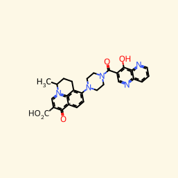 CC1CCc2c(N3CCN(C(=O)c4cnc5cccnc5c4O)CC3)ccc3c(=O)c(C(=O)O)cn1c23